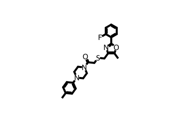 Cc1ccc(N2CCN(C(=O)CSCc3nc(-c4ccccc4F)oc3C)CC2)cc1